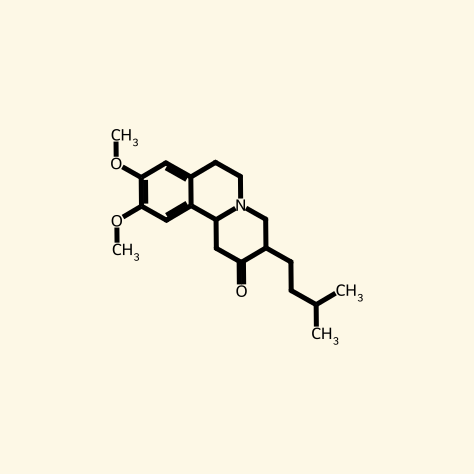 COc1cc2c(cc1OC)C1CC(=O)C(CCC(C)C)CN1CC2